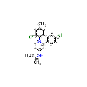 Cc1ccc(N2CC[C@@H](NC(C)C)C[C@@H]2c2ccc(Cl)cc2)c(Cl)c1